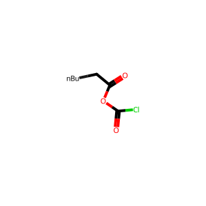 CCCCCC(=O)OC(=O)Cl